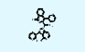 CC(c1oc(=O)c2ccccc2c1-c1ccccc1)n1nc(-c2cccnc2)c2c(N)ncnc21